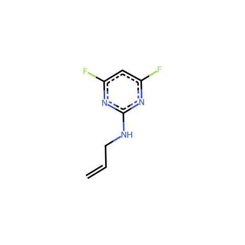 C=CCNc1nc(F)cc(F)n1